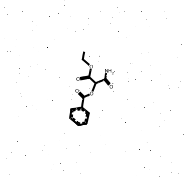 CCOC(=O)C(OC(=O)c1ccccc1)C(N)=O